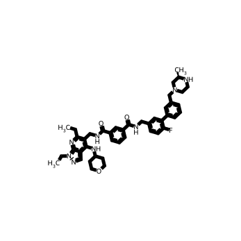 CCc1nc2c(cnn2CC)c(NC2CCOCC2)c1CNC(=O)c1cccc(C(=O)NCc2ccc(F)c(-c3cccc(CN4CCN[C@H](C)C4)c3)c2)c1